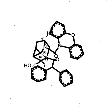 O=C(O)[C@@H]1C2C3C[C@@H](CN1C(=O)C(c1ccccc1)c1ccccc1)N(C(=O)N1c4ccccc4Oc4ccccc41)[C@H]32